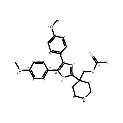 COc1ccc(-c2nc(C3(COC(C)=O)CCNCC3)oc2-c2ccc(OC)cc2)cc1